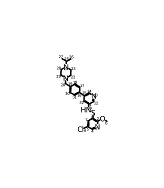 COc1ncc(Cl)cc1SNc1cncc(-c2ccc(CN3CCN(C(C)C)CC3)cc2)c1